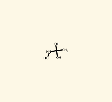 CC(O)(O)NO